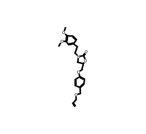 C=CCOCc1ccc(OCC2CN(CCc3ccc(OC)c(OC)c3)C(=O)O2)cc1